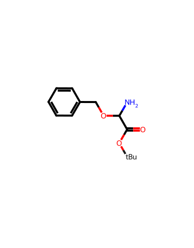 CC(C)(C)OC(=O)C(N)OCc1ccccc1